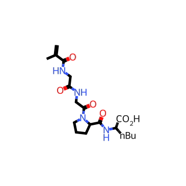 C=C(C)C(=O)NCC(=O)NCC(=O)N1CCCC1C(=O)NC(CCCC)C(=O)O